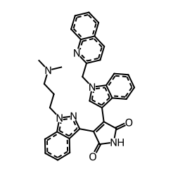 CN(C)CCCn1nc(C2=C(c3cn(Cc4ccc5ccccc5n4)c4ccccc34)C(=O)NC2=O)c2ccccc21